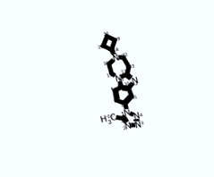 Cc1nnnn1-c1ccc2c(c1)nc1n2CCN(C2CCC2)CC1